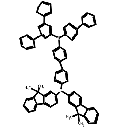 CC1(C)c2ccccc2-c2ccc(N(c3ccc(-c4ccc(N(c5ccc(-c6ccccc6)cc5)c5cc(C6=CC=CCC6)cc(-c6ccccc6)c5)cc4)cc3)c3ccc4c(c3)C(C)(C)c3ccccc3-4)cc21